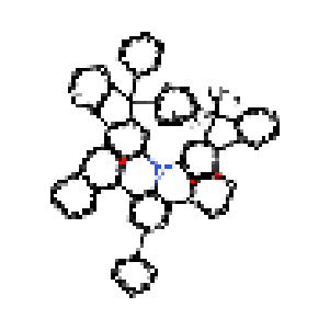 CC1(C)c2ccccc2-c2ccc(N(c3ccc4c(c3)C(c3ccccc3)(c3ccccc3)c3ccccc3-4)c3c(-c4ccccc4)cc(-c4ccccc4)cc3-c3cccc4ccccc34)cc21